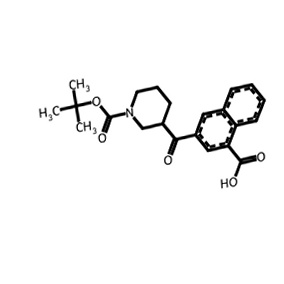 CC(C)(C)OC(=O)N1CCCC(C(=O)c2cc(C(=O)O)c3ccccc3c2)C1